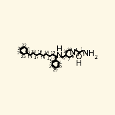 NCC(O)CN1CCC(CNC(CCCCCCCCc2ccccc2)c2ccccc2)CC1